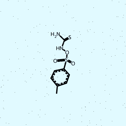 Cc1ccc(S(=O)(=O)ONC(N)=S)cc1